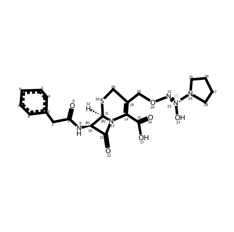 O=C(Cc1ccccc1)N[C@@H]1C(=O)N2C(C(=O)O)=C(CO/N=[N+](\O)N3CCCC3)CS[C@H]12